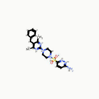 Cc1nc(N2CCN(S(=O)(=O)c3ccc(N)nn3)CC2)nc(C#N)c1Cc1ccccc1